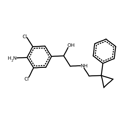 Nc1c(Cl)cc(C(O)CNCC2(c3ccccc3)CC2)cc1Cl